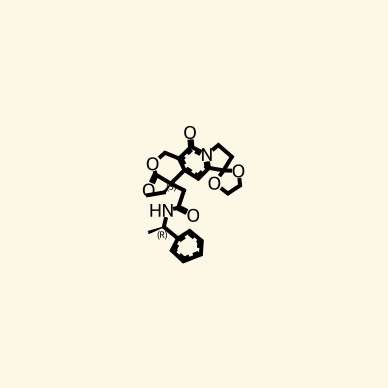 CC[C@@]1(CC(=O)N[C@H](C)c2ccccc2)C(=O)OCc2c1cc1n(c2=O)CCC12OCCO2